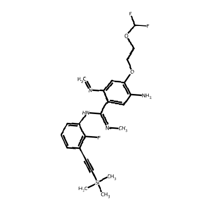 C=Nc1cc(OCCOC(F)F)c(N)cc1/C(=N\C)Nc1cccc(C#C[Si](C)(C)C)c1F